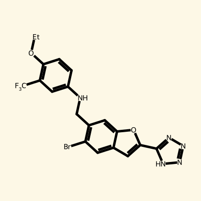 CCOc1ccc(NCc2cc3oc(-c4nnn[nH]4)cc3cc2Br)cc1C(F)(F)F